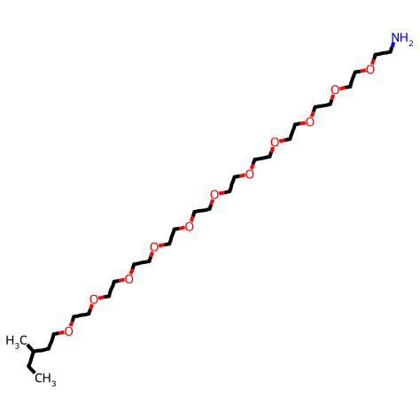 CCC(C)CCOCCOCCOCCOCCOCCOCCOCCOCCOCCOCCOCCN